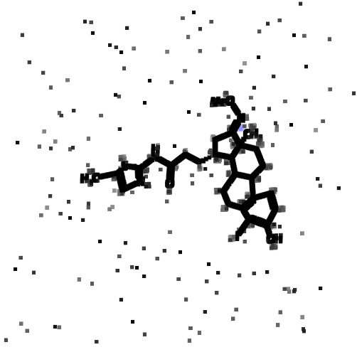 CO/N=C1\C[C@@H](CCC(=O)Nc2ncc(C)s2)C2C3CCc4c(ccc(O)c4I)C3CC[C@]12C